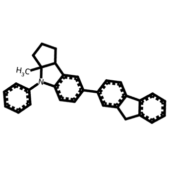 CC12CCCC1c1cc(-c3ccc4c(c3)Cc3ccccc3-4)ccc1N2c1ccccc1